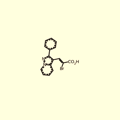 O=C(O)C(Br)=Cc1c(-c2ccccc2)nn2ccccc12